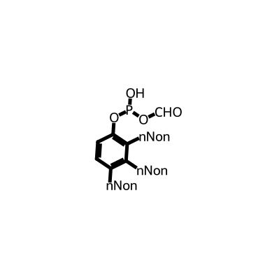 CCCCCCCCCc1ccc(OP(O)OC=O)c(CCCCCCCCC)c1CCCCCCCCC